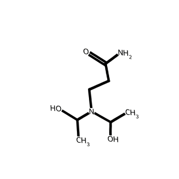 CC(O)N(CCC(N)=O)C(C)O